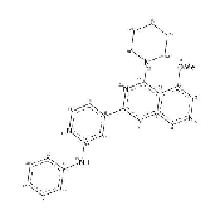 COc1cncc2nc(-c3ccnc(Nc4ccccc4)c3)nc(N3CCCCC3)c12